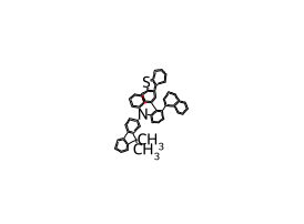 CC1(C)c2ccccc2-c2ccc(N(c3ccccc3)c3cccc(-c4cccc5ccccc45)c3-c3ccc4sc5ccccc5c4c3)cc21